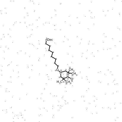 CCCCCCCCCCCCCCCCCCON1CC(C)(C)[NH+]([O-])C(C)(C)C1